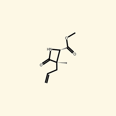 C=CC[C@@]1(C)C(=O)N[C@@H]1C(=O)OC